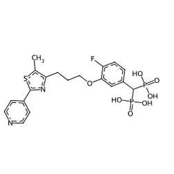 Cc1sc(-c2ccncc2)nc1CCCOc1cc(C(P(=O)(O)O)P(=O)(O)O)ccc1F